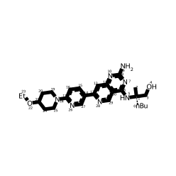 CCCC[C@](C)(CO)Nc1nc(N)nc2cc(-c3ccc(N4CCC(OCC)CC4)nc3)ncc12